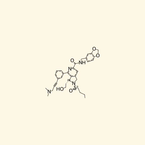 CCCC[S@@+]([O-])N1Cc2cc(C(=O)NCc3ccc4c(c3)OCO4)nc(-c3cccc(C#CCN(C)C)c3)c2[C@H]1CCO